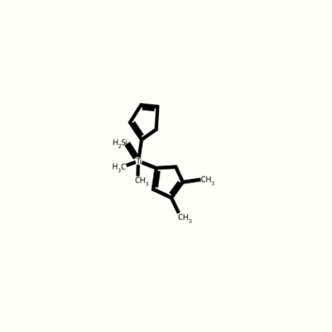 CC1=C(C)C[C]([Ti]([CH3])([CH3])(=[SiH2])[C]2=CC=CC2)=C1